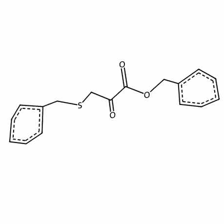 O=C(CSCc1ccccc1)C(=O)OCc1ccccc1